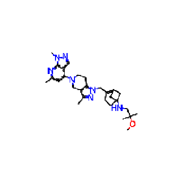 COC(C)(C)CNC12CCC(Cn3nc(C)c4c3CCN(c3cc(C)nc5c3cnn5C)C4)=C(C1)C2